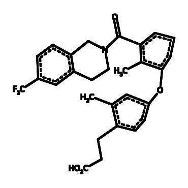 Cc1cc(Oc2cccc(C(=O)N3CCc4cc(C(F)(F)F)ccc4C3)c2C)ccc1CCC(=O)O